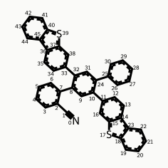 N#Cc1ccccc1-c1cc(-c2ccc3c(c2)sc2ccccc23)c(-c2ccccc2)cc1-c1ccc2c(c1)sc1ccccc12